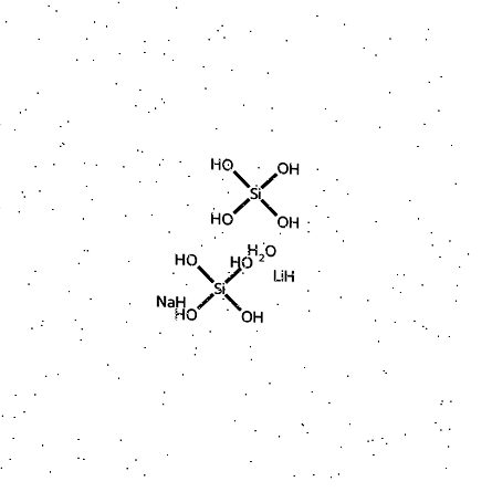 O.O[Si](O)(O)O.O[Si](O)(O)O.[LiH].[NaH]